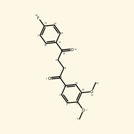 COc1ccc(C(=O)CCC(=O)c2ccc(F)cc2)cc1OC